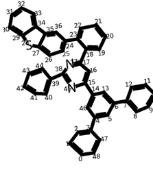 c1ccc(-c2cc(-c3ccccc3)cc(-c3cc(-c4ccccc4-c4ccc5sc6ccccc6c5c4)nc(-c4ccccc4)n3)c2)cc1